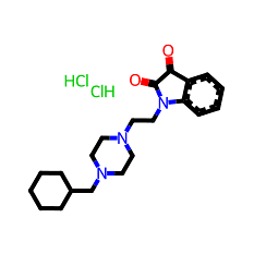 Cl.Cl.O=C1C(=O)N(CCN2CCN(CC3CCCCC3)CC2)c2ccccc21